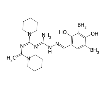 Bc1cc(/C=N/N/C(N)=N/C(=N\C(=C)N2CCCCC2)N2CCCCC2)c(O)c(B)c1O